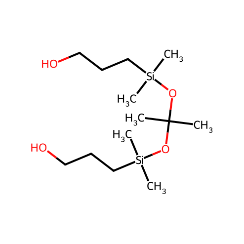 CC(C)(O[Si](C)(C)CCCO)O[Si](C)(C)CCCO